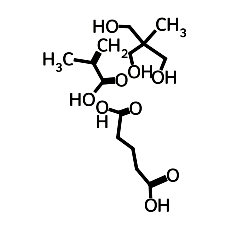 C=C(C)C(=O)O.CC(CO)(CO)CO.O=C(O)CCCC(=O)O